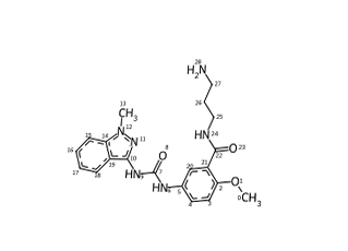 COc1ccc(NC(=O)Nc2nn(C)c3ccccc23)cc1C(=O)NCCCN